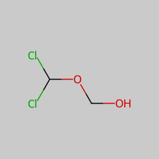 OCOC(Cl)Cl